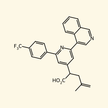 C=C(C)CC(C(=O)O)c1cc(-c2ccc(C(F)(F)F)cc2)nc(-c2cncc3ccccc23)c1